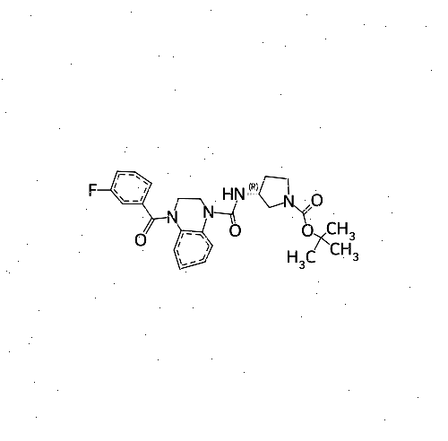 CC(C)(C)OC(=O)N1CC[C@@H](NC(=O)N2CCN(C(=O)c3cccc(F)c3)c3ccccc32)C1